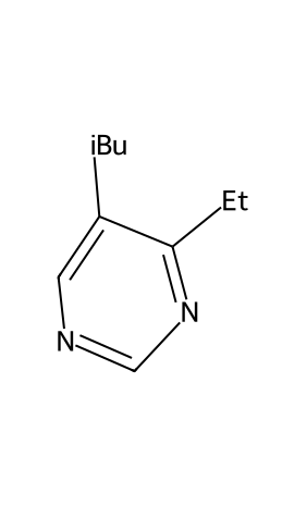 CCc1ncncc1C(C)CC